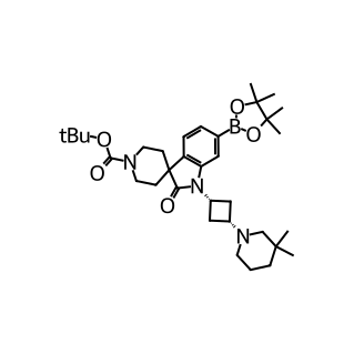 CC1(C)CCCN([C@H]2C[C@@H](N3C(=O)C4(CCN(C(=O)OC(C)(C)C)CC4)c4ccc(B5OC(C)(C)C(C)(C)O5)cc43)C2)C1